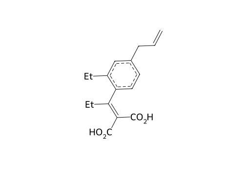 C=CCc1ccc(C(CC)=C(C(=O)O)C(=O)O)c(CC)c1